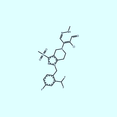 CN/N=C\C(=C(\Cl)C=O)N1CCc2c(c(S(C)(=O)=O)nn2Cc2ccc(F)cc2C(F)F)C1